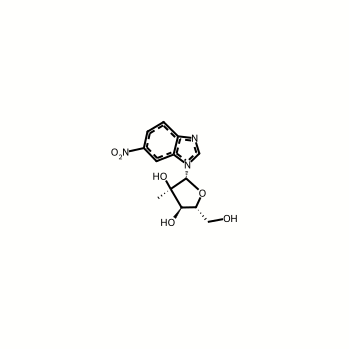 C[C@@]1(O)[C@H](O)[C@@H](CO)O[C@H]1n1cnc2ccc([N+](=O)[O-])cc21